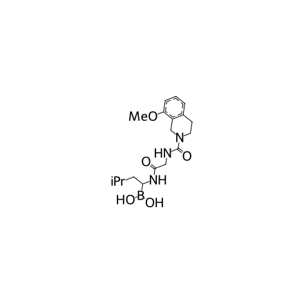 COc1cccc2c1CN(C(=O)NCC(=O)NC(CC(C)C)B(O)O)CC2